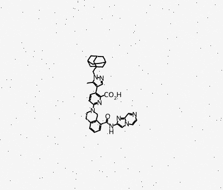 Cc1c(-c2ccc(N3CCc4cccc(C(=O)Nc5cn6ccncc6n5)c4C3)nc2C(=O)O)cnn1CC12CC3CC(CC(C3)C1)C2